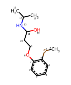 CSc1ccccc1OCCC(O)NC(C)C